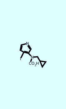 O=C(O)N(CC1CC1)c1cnccc1I